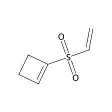 C=CS(=O)(=O)C1=CCC1